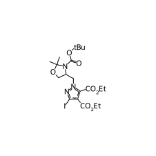 CCOC(=O)c1c(I)nn(CC2COC(C)(C)N2C(=O)OC(C)(C)C)c1C(=O)OCC